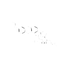 CCOc1ccc(Cc2cc(C34OCC(C(O)CN)(O3)[C@@H](O)[C@H](O)[C@H]4O)ccc2Cl)cc1